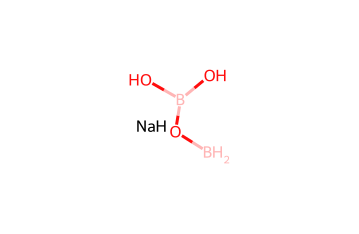 BOB(O)O.[NaH]